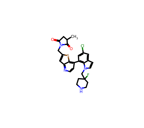 CC1CC(=O)N(Cc2cc3nccc(-c4cc(Cl)cc5ccn(CC6(F)CCNCC6)c45)c3s2)C1=O